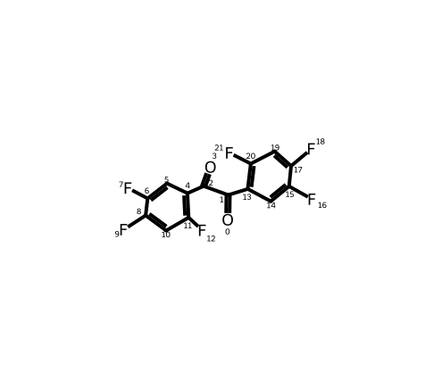 O=C(C(=O)c1cc(F)c(F)cc1F)c1cc(F)c(F)cc1F